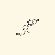 O=C(O[C@H]1CCNC[C@@H]1F)[C@@H]1CC[C@@H]2CN1C(=O)N2OS(=O)(=O)O